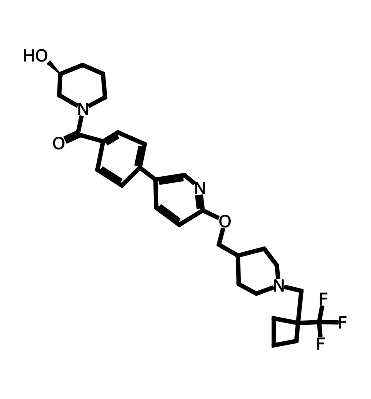 O=C(c1ccc(-c2ccc(OCC3CCN(CC4(C(F)(F)F)CCC4)CC3)nc2)cc1)N1CCC[C@H](O)C1